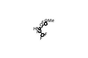 COc1cccc(C(=O)Cc2c[nH]c3ncc(-c4cc(F)cc(F)c4)cc23)c1F